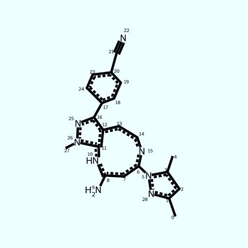 Cc1cc(C)n(-c2cc(N)[nH]c3c(ccn2)c(-c2ccc(C#N)cc2)nn3C)n1